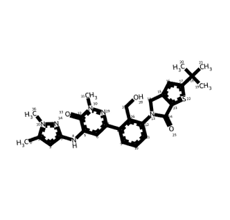 Cc1cc(Nc2cc(-c3cccc(N4Cc5cc(C(C)(C)C)sc5C4=O)c3CO)nn(C)c2=O)nn1C